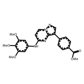 COC(=O)c1ccc(-c2cnn3ccc(Nc4cc(OC)c(OC)c(OC)c4)nc23)cc1